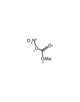 COC(=O)O[N+](=O)[O-]